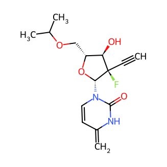 C#C[C@@]1(F)[C@H](O)[C@@H](COC(C)C)O[C@H]1N1C=CC(=C)NC1=O